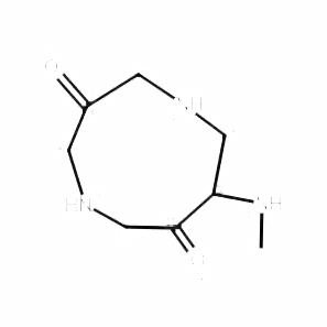 CNC1CNCC(=O)CNCC1=O